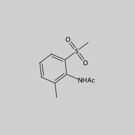 CC(=O)Nc1c(C)cccc1S(C)(=O)=O